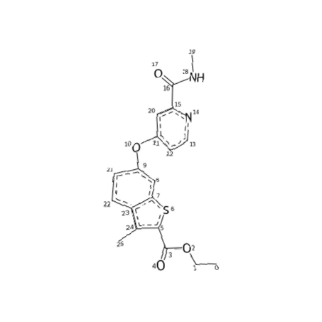 CCOC(=O)c1sc2cc(Oc3ccnc(C(=O)NC)c3)ccc2c1C